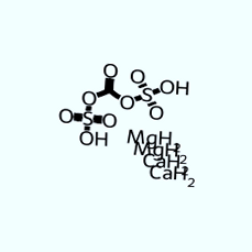 O=C(OS(=O)(=O)O)OS(=O)(=O)O.[CaH2].[CaH2].[MgH2].[MgH2]